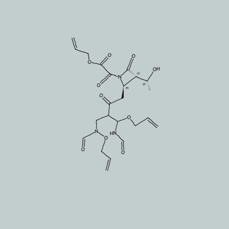 C=CCOC(=O)C(=O)N1C(=O)[C@H]([C@@H](C)O)[C@H]1CC(=O)C(CN(C=O)OCC=C)C(NC=O)OCC=C